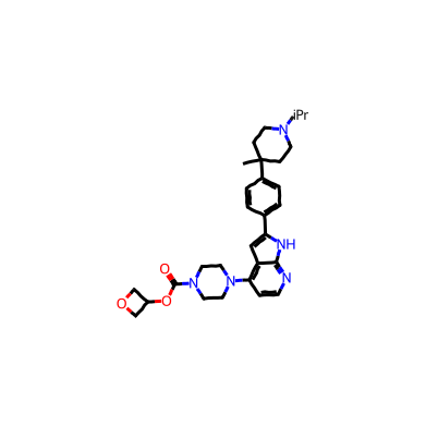 CC(C)N1CCC(C)(c2ccc(-c3cc4c(N5CCN(C(=O)OC6COC6)CC5)ccnc4[nH]3)cc2)CC1